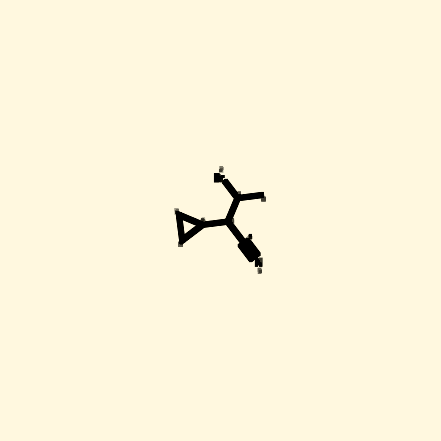 CC(Br)C(C#N)C1CC1